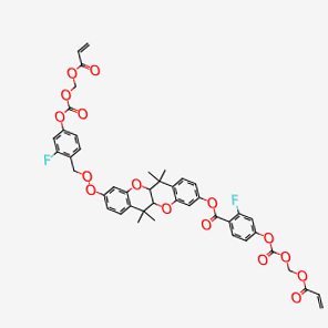 C=CC(=O)OCOC(=O)Oc1ccc(COOc2ccc3c(c2)OC2C(Oc4cc(OC(=O)c5ccc(OC(=O)OCOC(=O)C=C)cc5F)ccc4C2(C)C)C3(C)C)c(F)c1